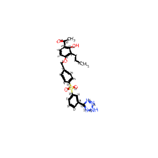 CCCc1c(OCc2ccc(S(=O)(=O)c3cccc(-c4nn[nH]n4)c3)cc2)ccc(C(C)=O)c1O